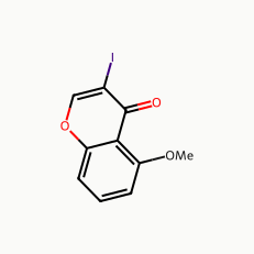 COc1cccc2occ(I)c(=O)c12